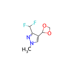 Cn1cc(C2OCO2)c(C(F)F)n1